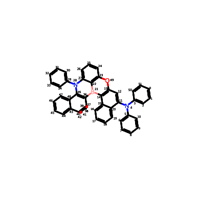 c1ccc(N(c2ccccc2)c2cc3c(c4ccccc24)B2c4c(cccc4N(c4ccccc4)c4c2c2ccccc2c2ccccc42)O3)cc1